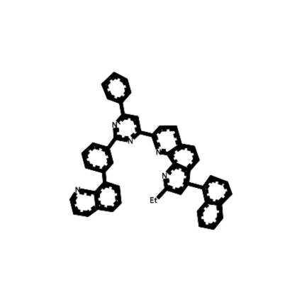 CCc1cc(-c2cccc3ccccc23)c2ccc3ccc(-c4cc(-c5ccccc5)nc(-c5cccc(-c6cccc7cccnc67)c5)n4)nc3c2n1